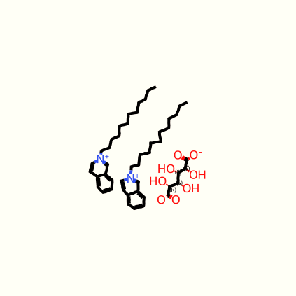 CCCCCCCCCCCC[n+]1ccc2ccccc2c1.CCCCCCCCCCCC[n+]1ccc2ccccc2c1.O=C([O-])[C@@H](O)[C@@H](O)[C@H](O)[C@@H](O)C(=O)[O-]